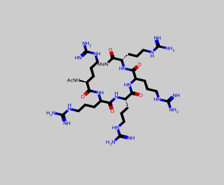 CNC(=O)[C@H](CCCNC(=N)N)NC(=O)C(CCCNC(=N)N)NC(=O)[C@H](CCCNC(=N)N)NC(=O)C(CCCNC(=N)N)NC(=O)[C@H](CCCNC(=N)N)NC(C)=O